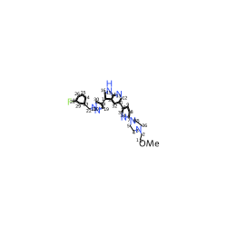 COCCN1CCN(c2ccc(-c3cnc4[nH]cc(-c5cnn(Cc6cccc(F)c6)c5)c4c3)cn2)CC1